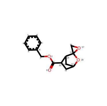 O=C(OCc1ccccc1)C1CC2CC1C1(CO1)O2